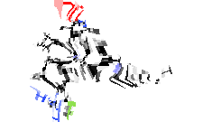 O=C(O)/C=C/c1ccc(/C(=C(\c2ccnc(O)c2)C2CCC2)c2ccc3c(c2)C(F)NN3)cc1